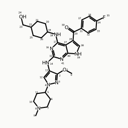 COc1nn(C2CCN(C)CC2)cc1Nc1nc(NC2CCC(CO)CC2)c2c(C(=O)c3ccc(F)cc3)c[nH]c2n1